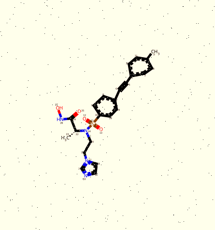 Cc1ccc(C#Cc2ccc(S(=O)(=O)N(CCn3ccnc3)[C@H](C)C(=O)NO)cc2)cc1